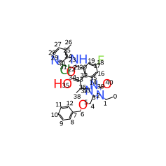 CCn1c(COCc2ccccc2)nn(-c2cc(F)cc(C(=O)Nc3c(C)ccnc3Cl)c2C(=CO)C(C)C)c1=O